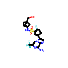 Nc1nc(C(F)(F)F)cn2c(-c3ccc(F)c(S(=O)(=O)NC45CCC(CO)(C4)C5)c3)cnc12